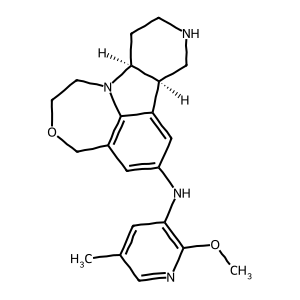 COc1ncc(C)cc1Nc1cc2c3c(c1)[C@@H]1CNCC[C@@H]1N3CCOC2